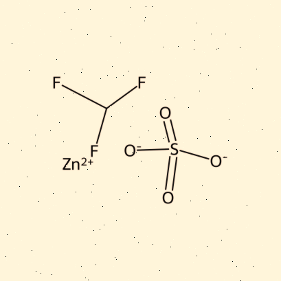 FC(F)F.O=S(=O)([O-])[O-].[Zn+2]